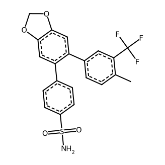 Cc1ccc(-c2cc3c(cc2-c2ccc(S(N)(=O)=O)cc2)OCO3)cc1C(F)(F)F